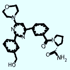 NC(=O)[C@H]1CCCN1C(=O)c1cccc(-c2cc(N3CCOCC3)nc(-c3cccc(CO)c3)n2)c1